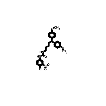 COc1ccc(C(CCCCNC(=O)Nc2ccc(Cl)c([N+](=O)[O-])c2)c2ccc(OC)cc2)cc1